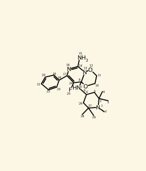 CN1C(C)(C)CC(NC23OCCON2C(N)=NC(c2ccccc2)=C3F)CC1(C)C